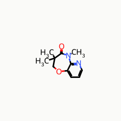 CN1C(=O)C(C)(C)COc2cccnc21